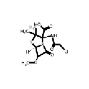 CO[C@@H]1C(=O)N2[C@@H]1SC(C)(C)[C@]2(NC(=O)CCl)C(=O)O